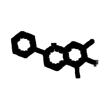 Cc1cc2nc(-c3ccccc3)ccc2c(C)c1F